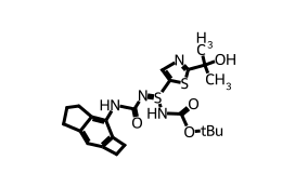 CC(C)(C)OC(=O)N/S(=N\C(=O)Nc1c2c(cc3c1CC3)CCC2)c1cnc(C(C)(C)O)s1